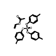 C=COC(C)=O.Cc1ccc(OP(=O)(Oc2ccc(C)cc2)Oc2ccc(C)cc2)cc1